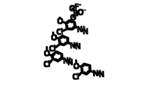 COc1ccc([N+]#N)cc1Cl.COc1ccc([N+]#N)cc1Cl.COc1ccc([N+]#N)cc1Cl.COc1ccc([N+]#N)cc1Cl.[F-].[O-]B([O-])[O-]